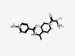 CC(NC(=O)c1cc[n+](O)cc1)C1CCN(C(=O)[C@H](C)N)CC1